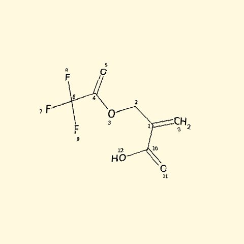 C=C(COC(=O)C(F)(F)F)C(=O)O